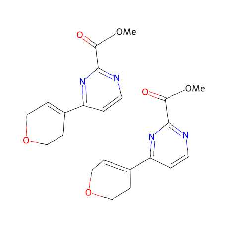 COC(=O)c1nccc(C2=CCOCC2)n1.COC(=O)c1nccc(C2=CCOCC2)n1